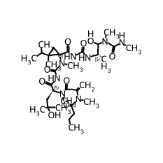 C=C(C(=O)N(C)[C@@H](CC(C)(C)O)C(=O)NC(=O)N(C)[C@]1(C(=O)NC(=O)N[C@@H](C)C(O)N(C)C(=O)NC)CC1(C)C(C)C)N(C)C(=O)CCC